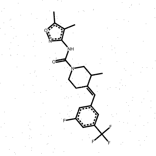 Cc1onc(NC(=O)N2CC/C(=C\c3cc(F)cc(C(F)(F)F)c3)C(C)C2)c1C